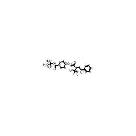 CC(C)(C)OC(=O)N1CCC(ONC(=O)N(CCc2ccccc2)C(C)(C)C)CC1